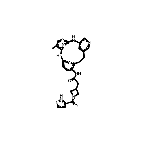 Cc1cnc2nc1Nc1ccc(NC(=O)CC3CN(C(=O)c4ccn[nH]4)C3)c(c1)CCc1cncc(c1)N2